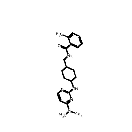 Cc1ccccc1C(=O)NCC1CCC(Nc2nccc(N(C)C)n2)CC1